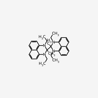 CCN1c2cccc3cccc(c23)N(CC)C1(C)C1(C)N(CC)c2cccc3cccc(c23)N1CC